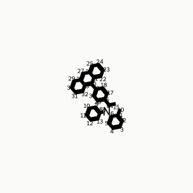 Cc1ccccc1N(c1ccccc1)C(C)c1ccc(-c2c3ccccc3cc3ccccc23)cc1